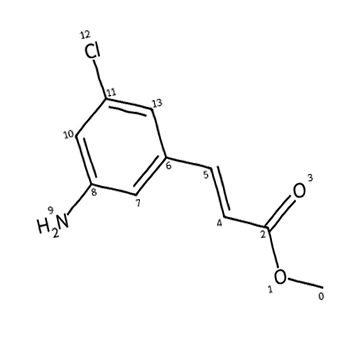 COC(=O)/C=C/c1cc(N)cc(Cl)c1